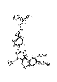 COc1cc2ncc3c(N)nc(-c4ccc(OCCCN(C)C)nc4)cc3c2cc1OC